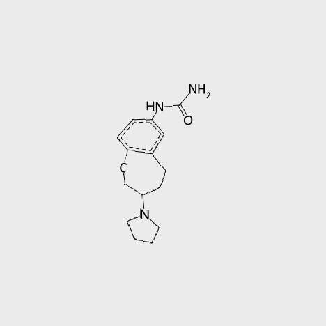 NC(=O)Nc1ccc2c(c1)CCC(N1CCCC1)CC2